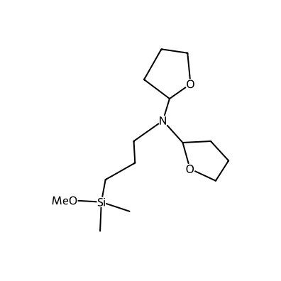 CO[Si](C)(C)CCCN(C1CCCO1)C1CCCO1